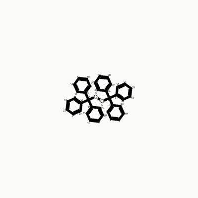 c1ccc(C(OOC(c2ccccc2)(c2ccccc2)c2ccccc2)(c2ccccc2)c2ccccc2)cc1